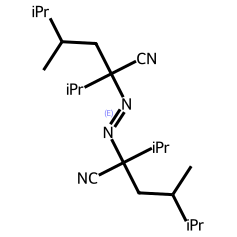 CC(C)C(C)CC(C#N)(/N=N/C(C#N)(CC(C)C(C)C)C(C)C)C(C)C